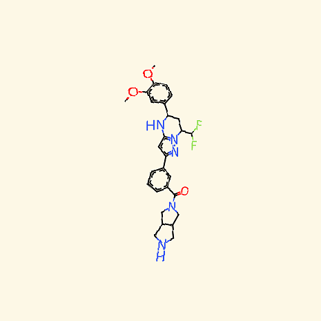 COc1ccc(C2CC(C(F)F)n3nc(-c4cccc(C(=O)N5CC6CNCC6C5)c4)cc3N2)cc1OC